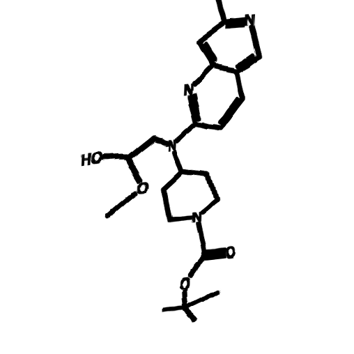 COC(O)CN(c1ccc2cnc(Cl)cc2n1)C1CCN(C(=O)OC(C)(C)C)CC1